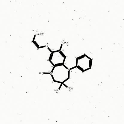 CCCCC1(CCCC)CN(c2ccccc2)c2cc(SC)c(O/C=C\C(=O)OCC)cc2[S+]([O-])C1